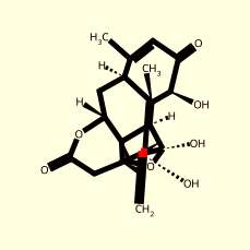 C=C1[C@@H](O)[C@]2(O)OC[C@]34[C@H]2[C@@]2(C)[C@H](O)C(=O)C=C(C)[C@@H]2C[C@H]3OC(=O)C[C@@H]14